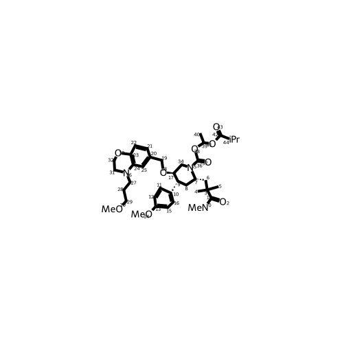 CNC(=O)C(C)(C)C[C@@H]1C[C@H](c2ccc(OC)cc2)[C@@H](OCc2ccc3c(c2)N(CCCOC)CCO3)CN1C(=O)OC(C)OC(=O)C(C)C